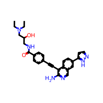 CCN(CC)CC(O)CNC(=O)c1ccc(C#Cc2c(N)ncc3cc(-c4ccn[nH]4)ccc23)cc1